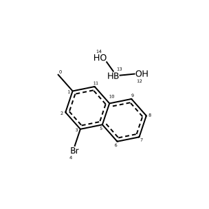 Cc1cc(Br)c2ccccc2c1.OBO